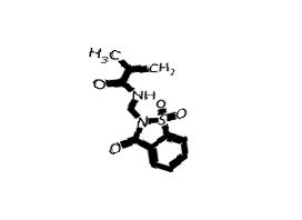 C=C(C)C(=O)NCN1C(=O)c2ccccc2S1(=O)=O